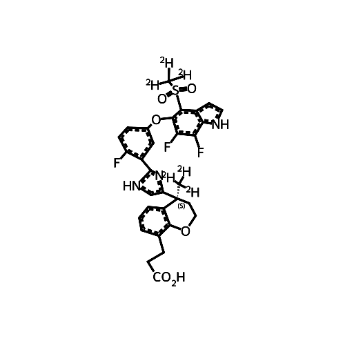 [2H]C([2H])([2H])[C@]1(c2c[nH]c(-c3cc(Oc4c(F)c(F)c5[nH]ccc5c4S(=O)(=O)C([2H])([2H])[2H])ccc3F)n2)CCOc2c(CCC(=O)O)cccc21